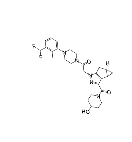 Cc1c(C(F)F)cccc1N1CCN(C(=O)Cn2nc(C(=O)N3CCC(O)CC3)c3c2C[C@H]2CC32)CC1